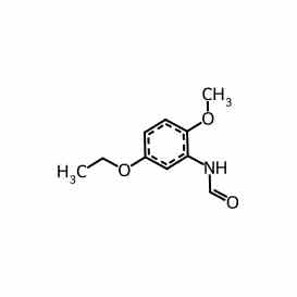 CCOc1ccc(OC)c(NC=O)c1